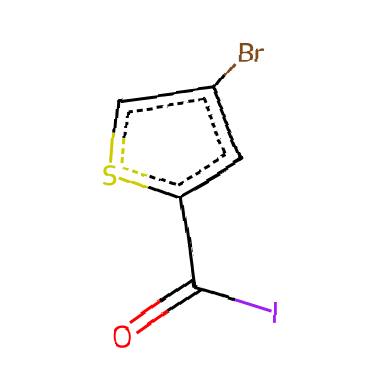 O=C(I)c1cc(Br)cs1